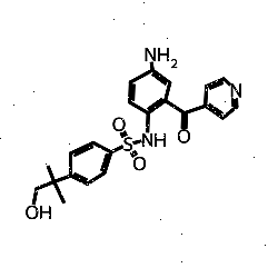 CC(C)(CO)c1ccc(S(=O)(=O)Nc2ccc(N)cc2C(=O)c2ccncc2)cc1